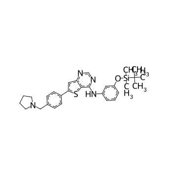 CC(C)(C)[Si](C)(C)Oc1cccc(Nc2ncnc3cc(-c4ccc(CN5CCCC5)cc4)sc23)c1